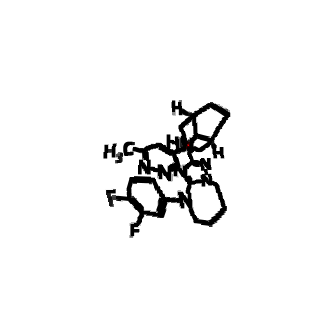 Cc1cc(N2C[C@H]3CC[C@@H](C2)C3Nc2nc3n(n2)CCCCN3c2ccc(F)c(F)c2)cnn1